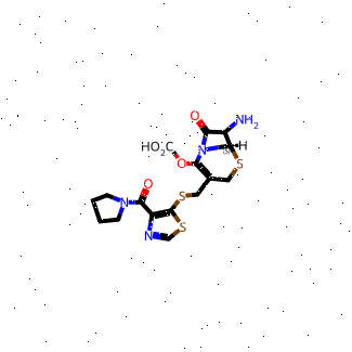 NC1C(=O)N2C(OC(=O)O)=C(CSc3scnc3C(=O)N3CCCC3)CS[C@@H]12